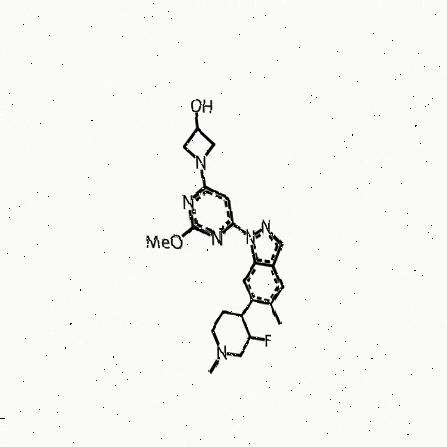 COc1nc(N2CC(O)C2)cc(-n2ncc3cc(C)c(C4CCN(C)CC4F)cc32)n1